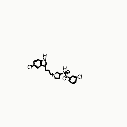 O=S(=O)(NC1CCN(CCCc2c[nH]c3ccc(Cl)cc23)C1)c1cccc(Cl)c1